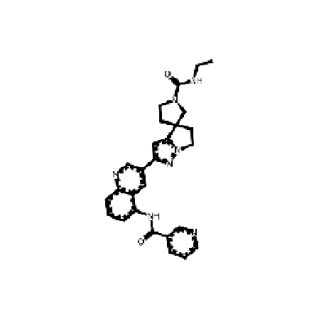 CCNC(=O)N1CCC2(CCn3nc(-c4cnc5cccc(NC(=O)c6cccnc6)c5c4)cc32)C1